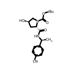 C[C@H](NC(=O)[C@@H]1C[C@@H](O)CN1C(=O)OC(C)(C)C)c1ccc(C#N)cc1